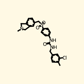 Cc1ccc(CNC(=O)Nc2ccc(S(=O)(=O)Cc3ccc4c(c3)CN(C)C4)cc2)cc1Cl